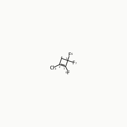 FC1=C(Cl)CC1(F)F